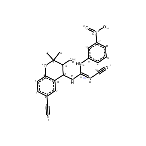 CC1(C)Oc2ccc(C#N)cc2C(N/C(=N/C#N)Nc2cccc([N+](=O)[O-])c2)C1O